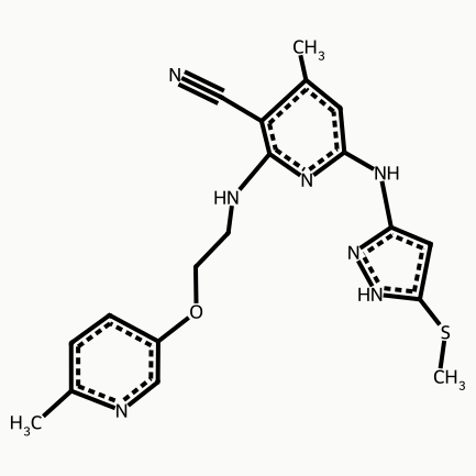 CSc1cc(Nc2cc(C)c(C#N)c(NCCOc3ccc(C)nc3)n2)n[nH]1